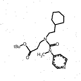 CN(C(=O)N(CCC(=O)OC(C)(C)C)CCC1CCCCC1)c1ccncc1